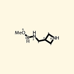 COBNCC1CNC1